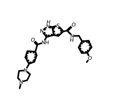 COc1ccc(CNC(=O)c2cc3c(NC(=O)c4ccc(N5CCN(C)CC5)cc4)n[nH]c3s2)cc1